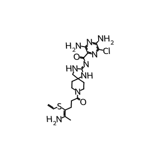 C=CS/C(CCC(=O)N1CCC2(CC1)CN/C(=N\C(=O)c1nc(Cl)c(N)nc1N)N2)=C(/C)N